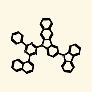 c1ccc(-c2nc(-c3cccc4ccccc34)nc(-n3c4ccc(-n5c6ccccc6c6ccccc65)cc4c4cc5ccccc5cc43)n2)cc1